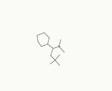 CN(C)C(CC(C)(C)C)C1CCCCC1